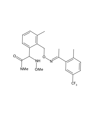 CNC(=O)C(NOC)c1cccc(C)c1CO/N=C(\C)c1cc(C(F)(F)F)ccc1C